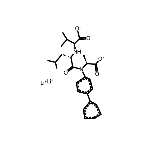 CC(C)C[C@H](N[C@H](C(=O)[O-])C(C)C)C(=O)N(c1ccc(-c2ccccc2)cc1)[C@@H](C)C(=O)[O-].[Li+].[Li+]